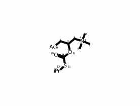 CC(=O)CC(C[N+](C)(C)C)OC(=O)SC(C)C